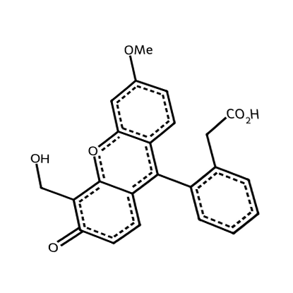 COc1ccc2c(-c3ccccc3CC(=O)O)c3ccc(=O)c(CO)c-3oc2c1